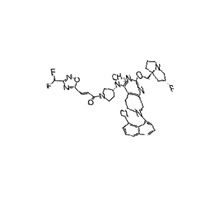 CN(c1nc(OC[C@@]23CCCN2C[C@H](F)C3)nc2c1CCN(c1cccc3cccc(Cl)c13)C2)[C@@H]1CCN(C(=O)/C=C/c2nc(C(F)F)no2)C1